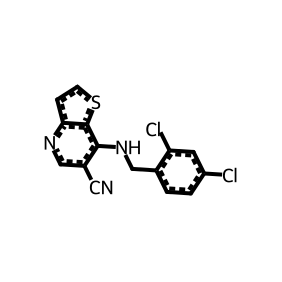 N#Cc1cnc2ccsc2c1NCc1ccc(Cl)cc1Cl